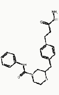 NNC(=O)CCc1ccc(CC2CN(C(=O)Nc3ccccc3)CCO2)cc1